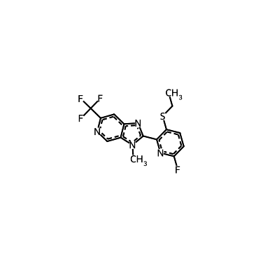 CCSc1ccc(F)nc1-c1nc2cc(C(F)(F)F)ncc2n1C